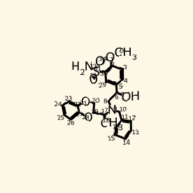 COc1ccc(C(O)CN(Cc2ccccc2)C(C)C2COc3ccccc3O2)cc1S(N)(=O)=O